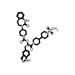 CS(=O)(=O)N1CCC(C2CCN(C(=O)[C@@H](Cc3ccc4[nH]ncc4c3)OC(=O)N3CCC(N4CCc5ccccc5NC4=O)CC3)CC2)CC1